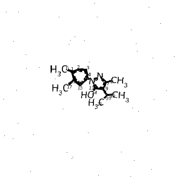 Cc1ccc(-n2nc(C)c(C(C)C)c2O)cc1C